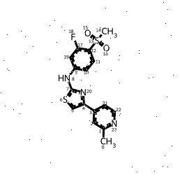 Cc1cc(-c2csc(Nc3ccc(S(C)(=O)=O)c(F)c3)n2)ccn1